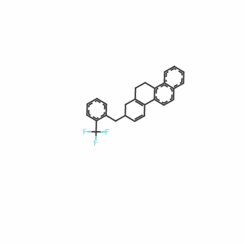 FC(F)(F)c1ccccc1CC1C=CC2=C(CCc3c2ccc2ccccc32)C1